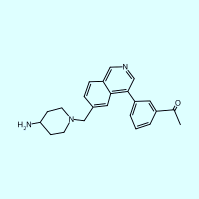 CC(=O)c1cccc(-c2cncc3ccc(CN4CCC(N)CC4)cc23)c1